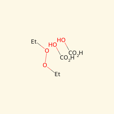 CCOOCC.O=C(O)O.O=C(O)O